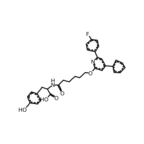 O=C(CCCCCOc1cc(-c2ccccc2)cc(-c2ccc(F)cc2)n1)NC(Cc1ccc(O)cc1)C(=O)O